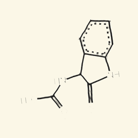 CC(=O)NC1C(=S)Nc2ccccc21